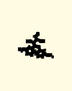 Nc1[c]c(C(=O)C(O)C(O)[C]=O)c(-c2ccc(N)cc2)cc1